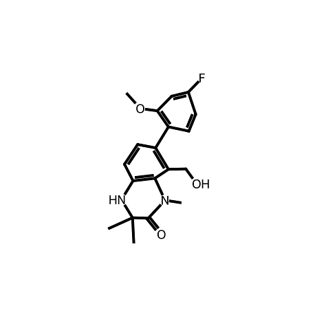 COc1cc(F)ccc1-c1ccc2c(c1CO)N(C)C(=O)C(C)(C)N2